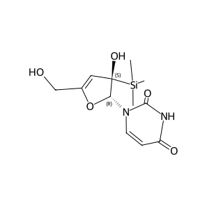 C[Si](C)(C)[C@@]1(O)C=C(CO)O[C@H]1n1ccc(=O)[nH]c1=O